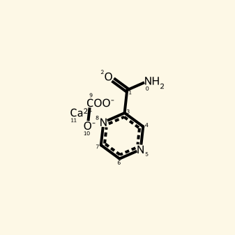 NC(=O)c1cnccn1.O=C([O-])[O-].[Ca+2]